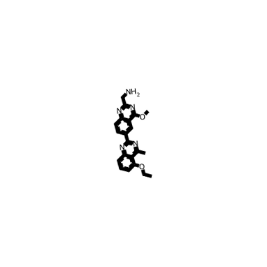 CCOc1cccc2nc(-c3ccc4nc(CN)nc(OC)c4c3)nc(C)c12